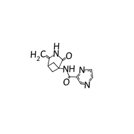 C=C1NC(=O)C2(NC(=O)c3cnccn3)CC1C2